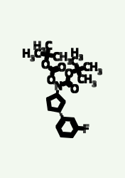 CC(C)(C)OC(=O)ON(C(=O)OC(C)(C)C)[C@H]1CC[C@@H](c2cccc(F)c2)C1